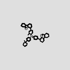 CC1C=C(c2cccc3c2oc2ccccc23)C=CC1N(c1ccc(C2=C3OCC4=C(CCC=C4)C3=CCC2)cc1)c1ccc(C2(C)CC=CCC2)cc1